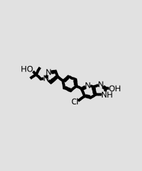 CC(C)(O)Cn1cc(-c2ccc(-c3nc4nc(O)[nH]c4cc3Cl)cc2)cn1